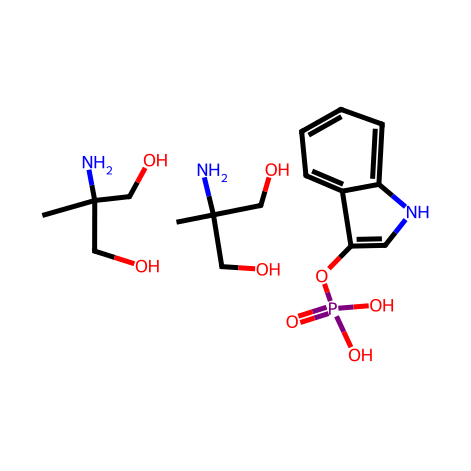 CC(N)(CO)CO.CC(N)(CO)CO.O=P(O)(O)Oc1c[nH]c2ccccc12